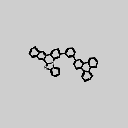 c1cc(-c2ccc3c4ccccc4c4ccccc4c3c2)cc(-c2ccc3c4cc5ccccc5cc4c4nc5ccccc5n4c3c2)c1